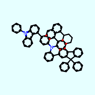 c1ccc(-n2c3ccccc3c3c(-c4ccc(N(c5ccccc5-c5ccc6c(c5)C(c5ccccc5)(c5ccccc5)c5ccccc5-6)c5ccccc5-c5cccc6cccc(C7CCCCC7)c56)cc4)cccc32)cc1